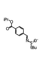 CC(C)OC(=O)c1ccc(C=N[S@@+]([O-])C(C)(C)C)cc1